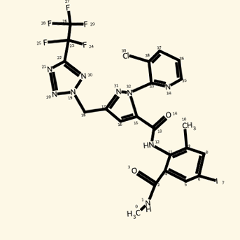 CNC(=O)c1cc(I)cc(C)c1NC(=O)c1cc(Cn2nnc(C(F)(F)C(F)(F)F)n2)nn1-c1ncccc1Cl